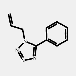 C=CCn1nnnc1-c1ccccc1